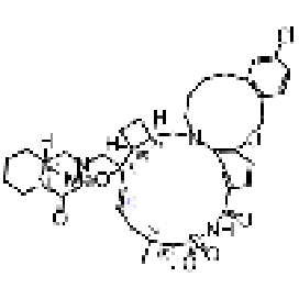 CO[C@]1(CN2CC(=O)N3CCCC[C@@H]3C2)/C=C/C[C@H](C)[C@@H](C)S(=O)(=O)NC(=O)c2ccc3c(c2)N(CCCCc2cc(Cl)ccc2CO3)C[C@@H]2CC[C@H]21